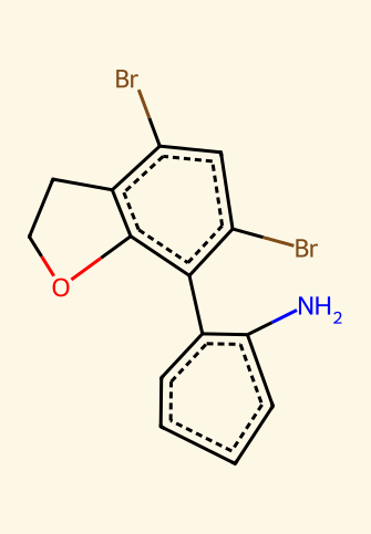 Nc1ccccc1-c1c(Br)cc(Br)c2c1OCC2